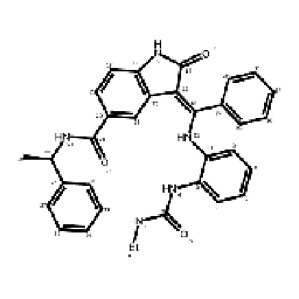 CCNC(=O)Nc1ccccc1NC(=C1C(=O)Nc2ccc(C(=O)N[C@H](C)c3ccccc3)cc21)c1ccccc1